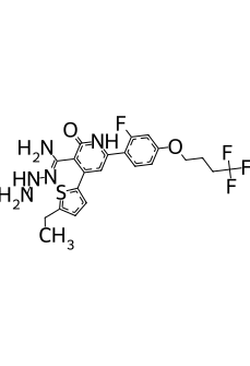 CCc1ccc(-c2cc(-c3ccc(OCCCC(F)(F)F)cc3F)[nH]c(=O)c2/C(N)=N/NN)s1